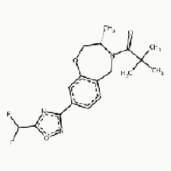 C[C@H]1COc2cc(-c3noc(C(F)F)n3)ccc2CN1C(=O)C(C)(C)C